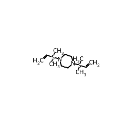 C=CS(C)(C)N1CCN(S(C)(C)C=C)CC1